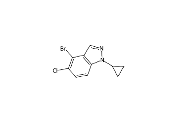 Clc1ccc2c(cnn2C2CC2)c1Br